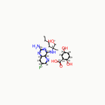 CCCCC(C)(CO)Nc1nc(N)nc2cc(F)cnc12.O=C(O)c1cc(O)ccc1O